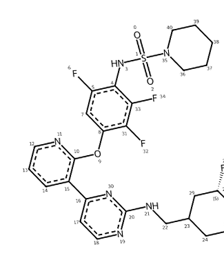 O=S(=O)(Nc1c(F)cc(Oc2ncccc2-c2ccnc(NCC3CNC[C@@H](F)C3)n2)c(F)c1F)N1CCCCC1